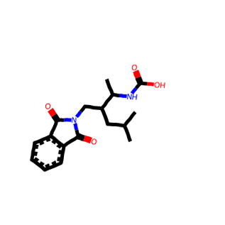 CC(C)CC(CN1C(=O)c2ccccc2C1=O)C(C)NC(=O)O